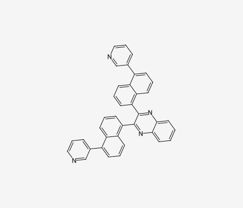 c1cncc(-c2cccc3c(-c4nc5ccccc5nc4-c4cccc5c(-c6cccnc6)cccc45)cccc23)c1